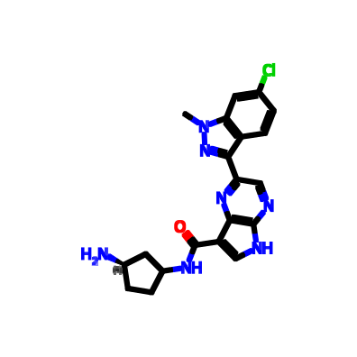 Cn1nc(-c2cnc3[nH]cc(C(=O)NC4CC[C@@H](N)C4)c3n2)c2ccc(Cl)cc21